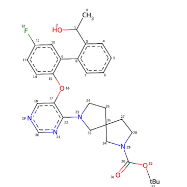 CC(O)c1ccccc1-c1cc(F)ccc1Oc1cncnc1N1CCC2(CCN(C(=O)OC(C)(C)C)C2)C1